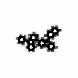 c1ccc(-n2c3ccccc3c3c(-c4ccc5c6ccccc6n(-c6ccc7ccccc7c6)c5c4)nccc32)cc1